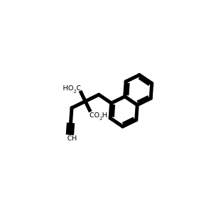 C#CCC(Cc1cccc2ccccc12)(C(=O)O)C(=O)O